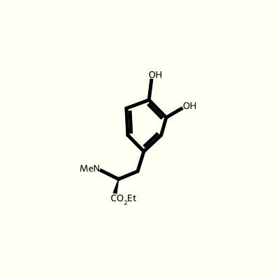 CCOC(=O)[C@H](Cc1ccc(O)c(O)c1)NC